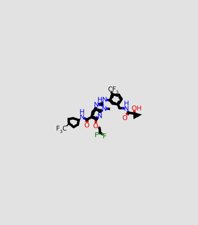 Cn1c(Nc2cc(CNC(=O)C3(O)CC3)ccc2C(F)(F)F)nc2cc(C(=O)N[C@H]3CC[C@H](C(F)(F)F)CC3)c(OCC(F)F)nc21